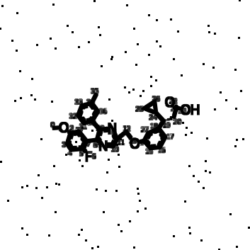 COc1ccc(F)c(-c2ncc(COc3cccc([C@@H](CC(=O)O)C4CC4)c3)nc2-c2cccc(C)c2)c1